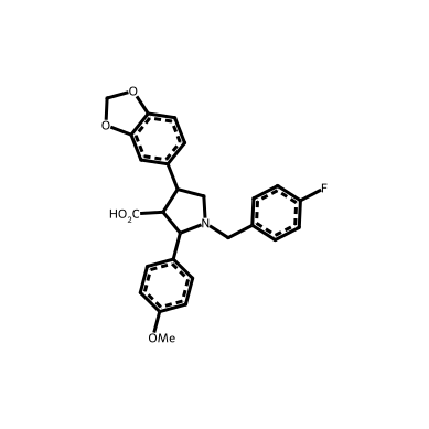 COc1ccc(C2C(C(=O)O)C(c3ccc4c(c3)OCO4)CN2Cc2ccc(F)cc2)cc1